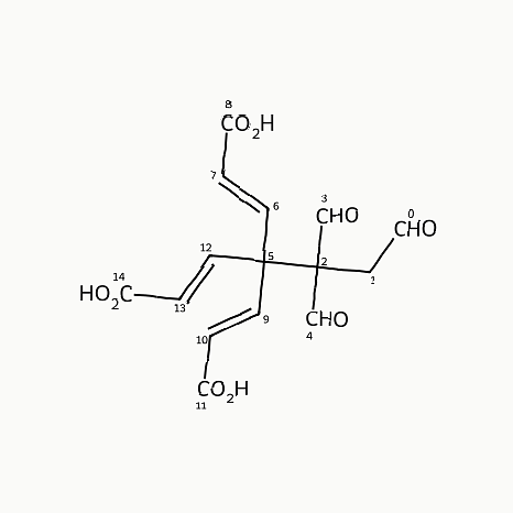 O=CCC(C=O)(C=O)C(C=CC(=O)O)(C=CC(=O)O)C=CC(=O)O